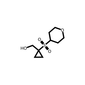 O=S(=O)(C1CCOCC1)C1(CO)CC1